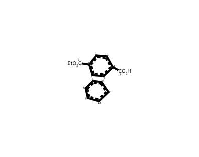 CCOC(=O)c1ccc(C(=O)O)cc1.c1ccccc1